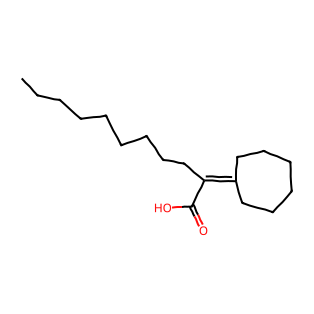 CCCCCCCCCC(C(=O)O)=C1CCCCCC1